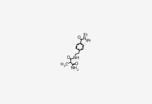 CCN(C(=O)c1ccc(CCNC(=O)[C](C)C(N)=O)cc1)C(C)C